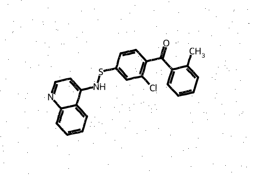 Cc1ccccc1C(=O)c1ccc(SNc2ccnc3ccccc23)cc1Cl